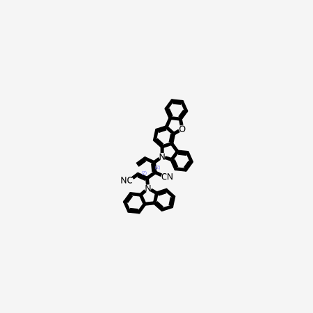 C=C/C(=C(C#N)\C(=C\C#N)N1c2ccccc2C2C=CC=CC21)n1c2ccccc2c2c3oc4ccccc4c3ccc21